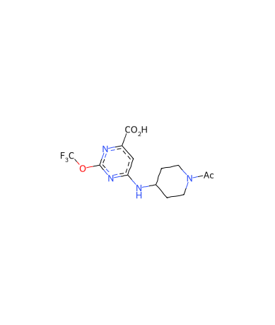 CC(=O)N1CCC(Nc2cc(C(=O)O)nc(OC(F)(F)F)n2)CC1